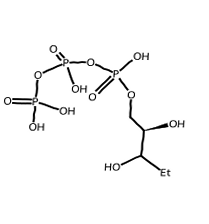 CCC(O)[C@H](O)COP(=O)(O)OP(=O)(O)OP(=O)(O)O